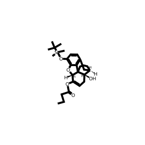 CCCC(=O)OC1=CC[C@@]2(O)[C@@H]3CCCC24c2c(ccc(O[Si](C)(C)C(C)(C)C)c2O[C@@H]14)C3